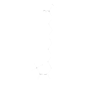 CN(CCOCCOCCOC(N)=O)C(=O)C(F)(F)F